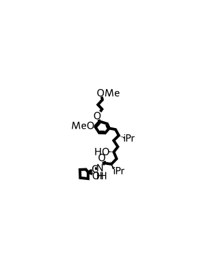 COCCCOc1cc(C[C@@H](CC[C@@H](O)C[C@H](C(=O)NCC2(O)CCCC2)C(C)C)C(C)C)ccc1OC